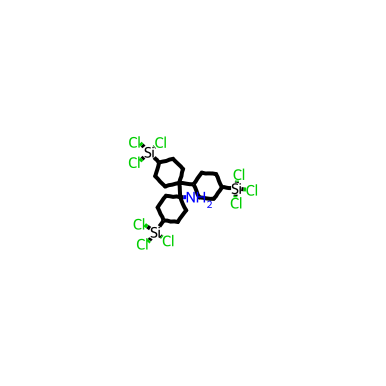 NC1(C2(C3CCC([Si](Cl)(Cl)Cl)CC3)CCC([Si](Cl)(Cl)Cl)CC2)CCC([Si](Cl)(Cl)Cl)CC1